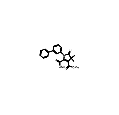 COC(=O)C1=C(C(=O)OC)C(C)(C)C(=O)N1c1cccc(-c2ccccc2)c1